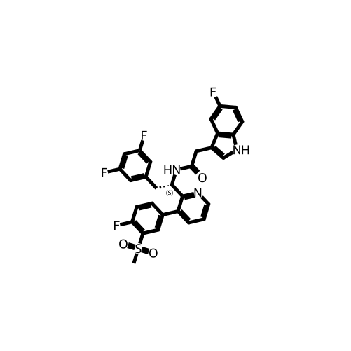 CS(=O)(=O)c1cc(-c2cccnc2[C@H](Cc2cc(F)cc(F)c2)NC(=O)Cc2c[nH]c3ccc(F)cc23)ccc1F